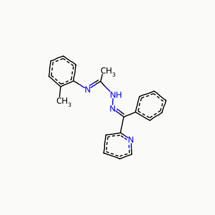 C/C(=N\c1ccccc1C)N/N=C(\c1ccccc1)c1ccccn1